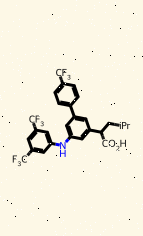 CC(C)CC(C(=O)O)c1cc(Nc2cc(C(F)(F)F)cc(C(F)(F)F)c2)cc(-c2ccc(C(F)(F)F)cc2)c1